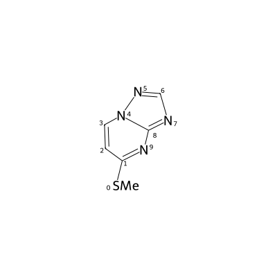 [CH2]Sc1ccn2ncnc2n1